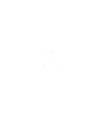 Cl[SiH2]N([SiH2]Cl)C1CCCC1